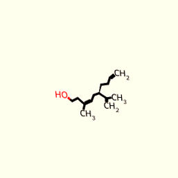 C=CCC[C@H](C/C=C(/C)CCO)C(=C)C